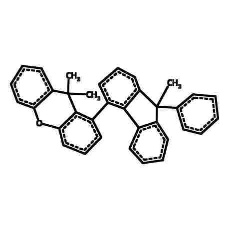 CC1(C)c2ccccc2Oc2cccc(-c3cccc4c3-c3ccccc3C4(C)c3ccccc3)c21